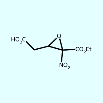 CCOC(=O)C1([N+](=O)[O-])OC1CC(=O)O